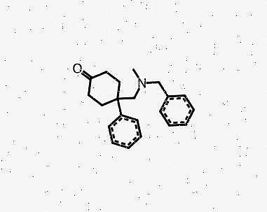 CN(Cc1ccccc1)CC1(c2ccccc2)CCC(=O)CC1